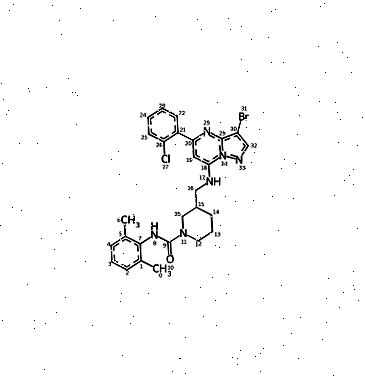 Cc1cccc(C)c1NC(=O)N1CCCC(CNc2cc(-c3ccccc3Cl)nc3c(Br)cnn23)C1